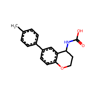 Cc1ccc(-c2ccc3c(c2)C(NC(=O)O)CCO3)cc1